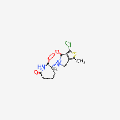 Cc1sc(Cl)c2c1CN([C@H]1CCCC(=O)NC1=O)C2=O